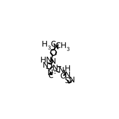 [C-]#[N+]c1cnc2[nH]c(-c3ccc(N(C)C)cc3)nc2c1N1CCN(CC(=O)Nc2nccs2)CC1